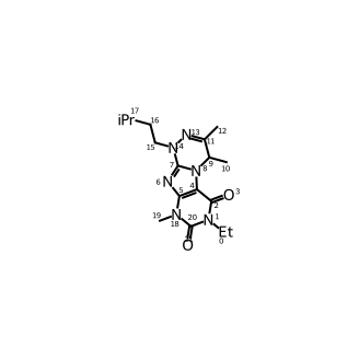 CCn1c(=O)c2c(nc3n2C(C)C(C)=NN3CCC(C)C)n(C)c1=O